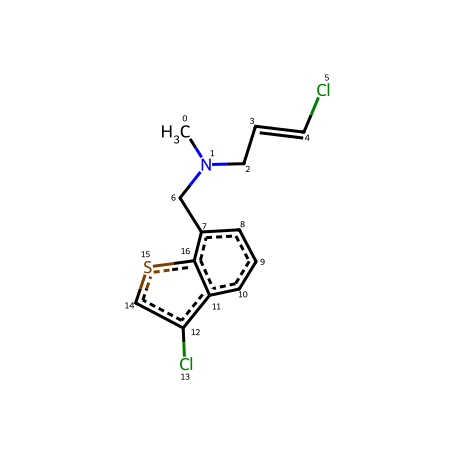 CN(CC=CCl)Cc1cccc2c(Cl)csc12